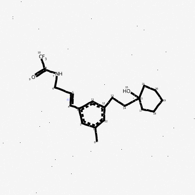 Cc1cc(/C=C/CNC(=O)C(F)(F)F)cc(CCC2(O)CCCCC2)c1